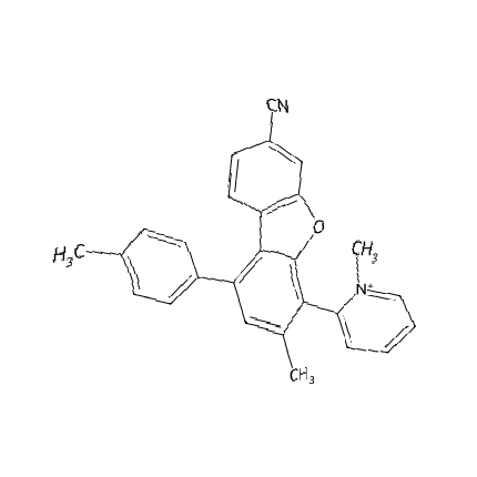 Cc1ccc(-c2cc(C)c(-c3cccc[n+]3C)c3oc4cc(C#N)ccc4c23)cc1